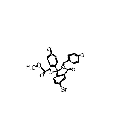 COC(=O)COC1(c2ccc(Cl)cc2)c2ccc(Br)cc2C(=O)N1Cc1ccc(Cl)cc1